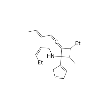 C/C=C/C=C=C1C(CC)C(C)C1(NC/C=C\CC)C1=CC=CC1